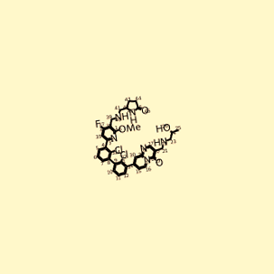 COc1nc(-c2cccc(-c3cccc(-c4ccn5c(=O)c(CNCC(C)O)cnc5c4)c3Cl)c2Cl)cc(F)c1CNCC1CCC(=O)N1